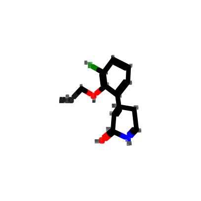 COCOc1c(F)cccc1C1=CC(=O)N=CC1